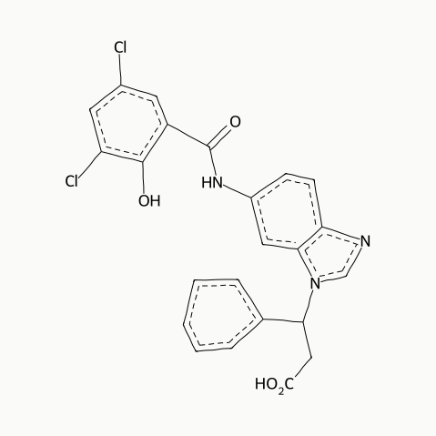 O=C(O)CC(c1ccccc1)n1cnc2ccc(NC(=O)c3cc(Cl)cc(Cl)c3O)cc21